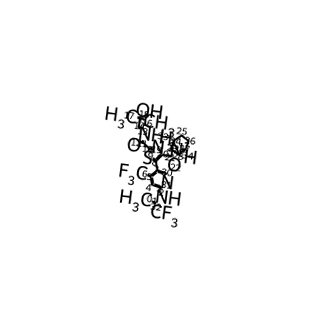 C[C@H](Nc1cc(C(F)(F)F)c(-c2sc(C(=O)NCC(C)(C)O)nc2C(=O)N2[C@H]3CC[C@H]2CC3)cn1)C(F)(F)F